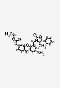 Bc1ccc(Oc2cc(CC(=O)OCC)ccc2Cl)c(CN2C(=O)O[C@H](c3ccccc3)[C@@H]2C)c1